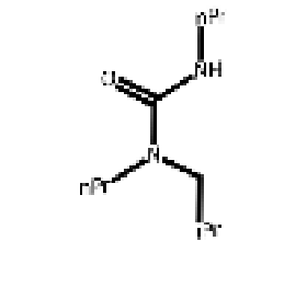 CCCNC(=O)N(CCC)CC(C)C